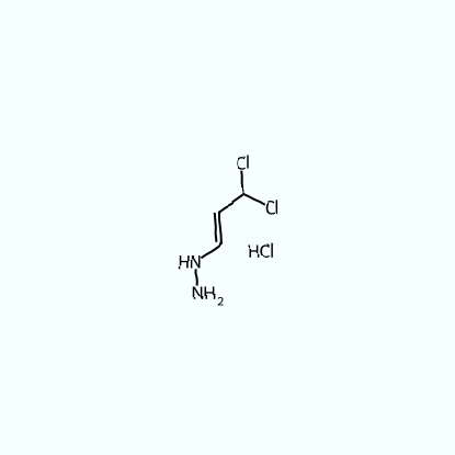 Cl.NNC=CC(Cl)Cl